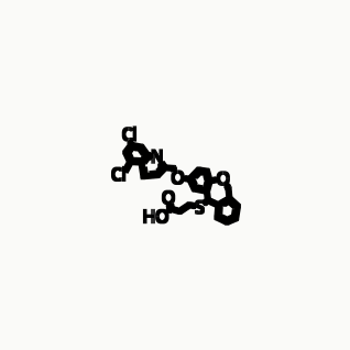 O=C(O)CCSC1c2ccccc2COc2ccc(OCc3ccc4c(Cl)cc(Cl)cc4n3)cc21